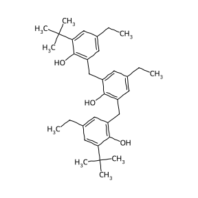 CCc1cc(Cc2cc(CC)cc(C(C)(C)C)c2O)c(O)c(Cc2cc(CC)cc(C(C)(C)C)c2O)c1